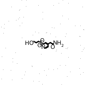 NC(=O)Cc1ccnc(S(=O)(=O)CCCO)c1